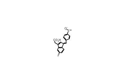 C[S+]([O-])c1ccc(/C=C2\C=C(CC(=O)O)c3cc(F)ccc32)cc1